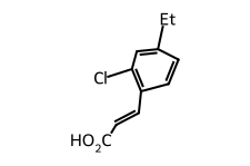 CCc1ccc(C=CC(=O)O)c(Cl)c1